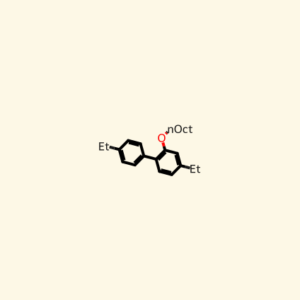 CCCCCCCCOc1cc(CC)ccc1-c1ccc(CC)cc1